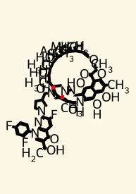 C=C(O)c1cn(-c2ccc(F)cc2F)c2nc(N3CCC(C(=O)N4CCN(/N=C/c5c6c(O)c7c(O)c(C)c8c(c7c5O)C(=O)[C@@](C)(O/C=C/[C@H](OC)[C@@H](C)[C@@H](OC(C)=O)[C@H](C)[C@H](O)[C@H](C)[C@@H](O)[C@@H](C)/C=C/C=C(/C)C(=O)N6)O8)CC4)C3)c(F)cc2c1=O